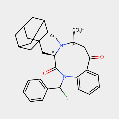 CC(=O)N1[C@H](CC23CC4CC(CC(C4)C2)C3)C(=O)N(C(Cl)c2ccccc2)c2ccccc2C(=O)C[C@H]1C(=O)O